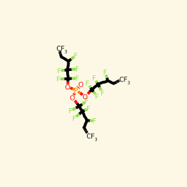 O=P(OC(F)(F)C(F)(F)C(F)CC(F)(F)F)(OC(F)(F)C(F)(F)C(F)CC(F)(F)F)OC(F)(F)C(F)(F)C(F)CC(F)(F)F